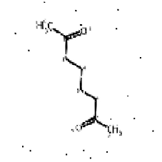 CC(=O)CCCCC(C)=O